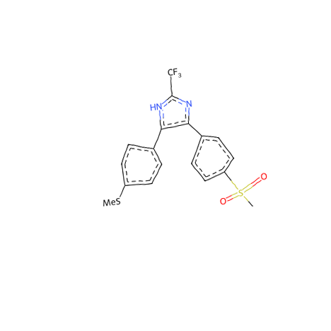 CSc1ccc(-c2[nH]c(C(F)(F)F)nc2-c2ccc(S(C)(=O)=O)cc2)cc1